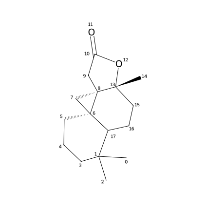 CC1(C)CCC[C@]23C[C@@]24CC(=O)O[C@]4(C)CCC13